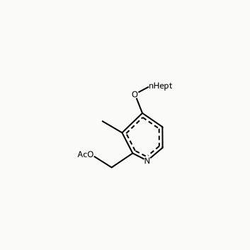 CCCCCCCOc1ccnc(COC(C)=O)c1C